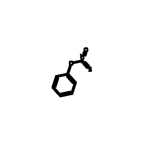 O=[SH](=S)Oc1ccccc1